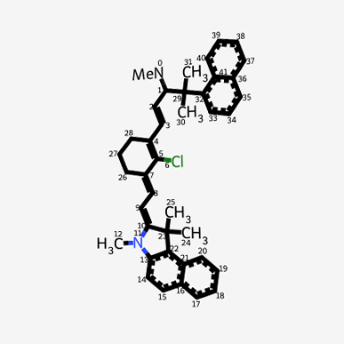 CNC(/C=C/C1=C(Cl)C(=C/C=C2/N(C)c3ccc4ccccc4c3C2(C)C)/CCC1)C(C)(C)c1cccc2ccccc12